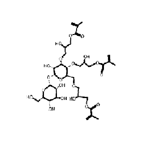 C=C(C)C(=O)OCC(O)COC[C@H]1O[C@H](O[C@H]2O[C@H](CO)[C@@H](O)[C@H](O)[C@H]2O)[C@H](O)[C@@H](OCC(O)COC(=O)C(=C)C)[C@@H]1OCC(O)COC(=O)C(=C)C